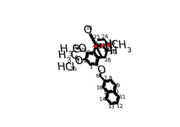 COc1cc(OCc2ccc3ccccc3c2)c2c(c1OC)[C@]13CCN(C)[C@H](C2)[C@@H]1CCC(=O)C3.Cl